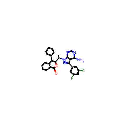 CC(c1oc(=O)c2ccccc2c1-c1ccccc1)n1nc(-c2cc(F)cc(Cl)c2)c2c(N)ncnc21